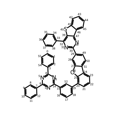 c1ccc(-c2nc(-c3ccccc3)nc(-c3cccc(-c4cccc5c4oc4cc(-c6nc(-c7ccccc7)c7sc8ccccc8c7n6)ccc45)c3)n2)cc1